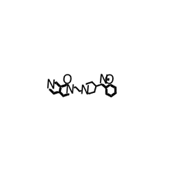 O=c1c2cnccc2ccn1CCN1CCC(c2noc3ccccc23)CC1